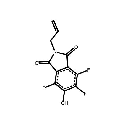 C=CCN1C(=O)c2c(F)c(O)c(F)c(F)c2C1=O